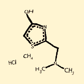 C.CN(C)Cc1nc(O)cs1.Cl